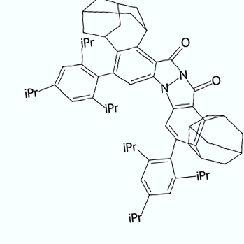 CC(C)c1cc(C(C)C)c(-c2cc3c(c4c2C2CC5CC(C2)CC4C5)c(=O)n2c(=O)c4c5c(c(-c6c(C(C)C)cc(C(C)C)cc6C(C)C)cc4n32)C2CC3CC(C2)CC5C3)c(C(C)C)c1